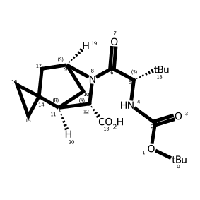 CC(C)(C)OC(=O)N[C@H](C(=O)N1[C@H]2C[C@@H]([C@H]1C(=O)O)C1(CC1)C2)C(C)(C)C